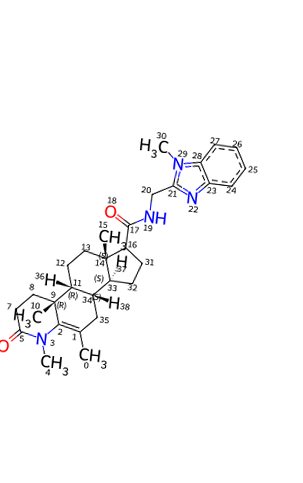 CC1=C2N(C)C(=O)CC[C@]2(C)[C@@H]2CC[C@]3(C)C(C(=O)NCc4nc5ccccc5n4C)CC[C@H]3[C@@H]2C1